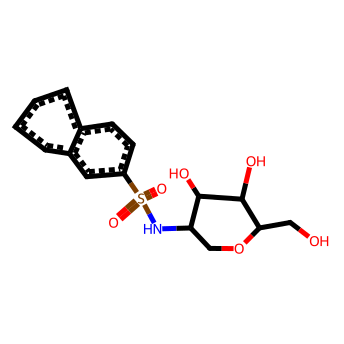 O=S(=O)(NC1COC(CO)C(O)C1O)c1ccc2ccccc2c1